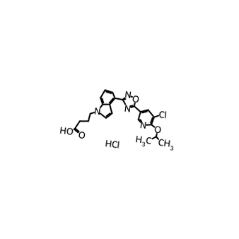 CC(C)Oc1ncc(-c2nc(-c3cccc4c3ccn4CCCC(=O)O)no2)cc1Cl.Cl